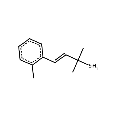 Cc1ccccc1C=CC(C)(C)[SiH3]